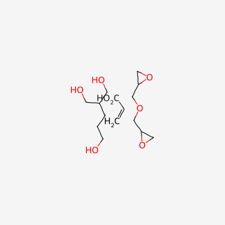 C(OCC1CO1)C1CO1.C=CC(=O)O.OCCCC(CO)CO